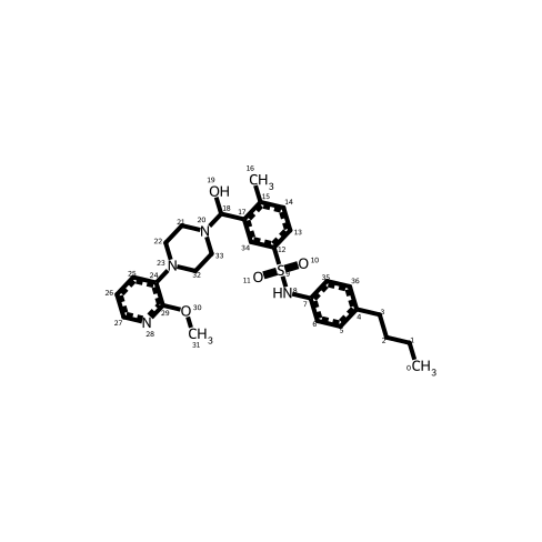 CCCCc1ccc(NS(=O)(=O)c2ccc(C)c(C(O)N3CCN(c4cccnc4OC)CC3)c2)cc1